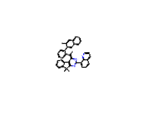 C/C(=C1\NC(c2cccc3cccnc23)=NC2=C1c1ccccc1C2(C)C)c1ccccc1-c1cc2ccccc2cc1C